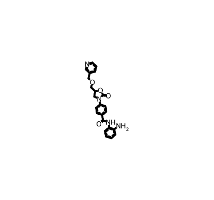 Nc1ccccc1NC(=O)c1ccc(N2CC(COCc3cccnc3)OC2=O)cc1